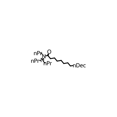 CCCCCCCCCCCCCCCCCC(=O)N(CCC)N(CCC)CCC